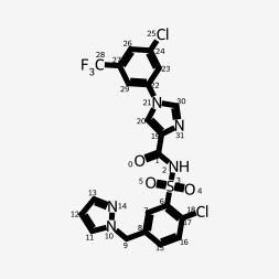 O=C(NS(=O)(=O)c1cc(Cn2cccn2)ccc1Cl)c1cn(-c2cc(Cl)cc(C(F)(F)F)c2)cn1